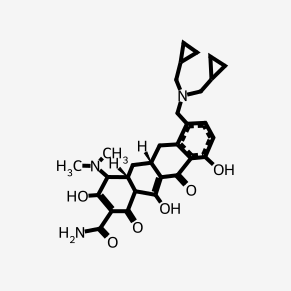 CN(C)C1C(O)=C(C(N)=O)C(=O)C2C(O)=C3C(=O)c4c(O)ccc(CN(CC5CC5)CC5CC5)c4C[C@H]3C[C@H]21